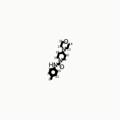 Cc1ccc(NC(=O)N2CCC(N3CCOCC3)CC2)cc1